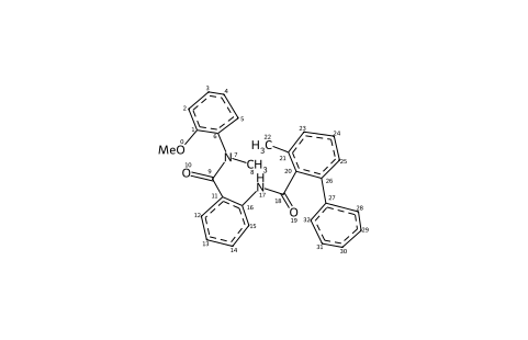 COc1ccccc1N(C)C(=O)c1ccccc1NC(=O)c1c(C)cccc1-c1ccccc1